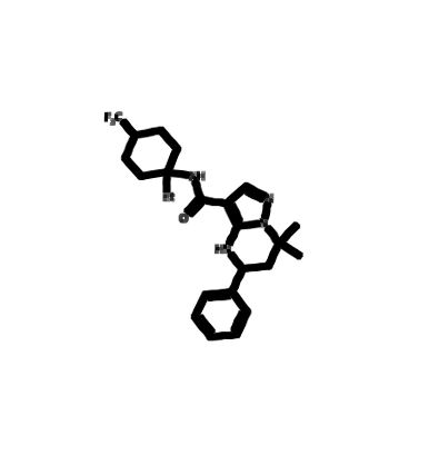 CCC1(NC(=O)c2cnn3c2NC(c2ccccc2)CC3(C)C)CCC(C(F)(F)F)CC1